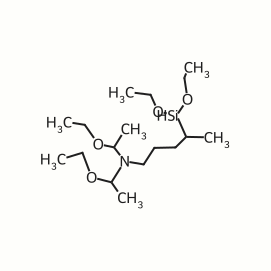 CCOC(C)N(CCCC(C)[SiH](OCC)OCC)C(C)OCC